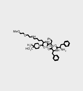 COCCOCCNCCCCC(NC(=O)C(CC(C)C)NC(=O)C(Cc1ccccc1)NC(=O)C(N)Cc1ccccc1)C(=O)N1CCC(N)(C(=O)O)CC1